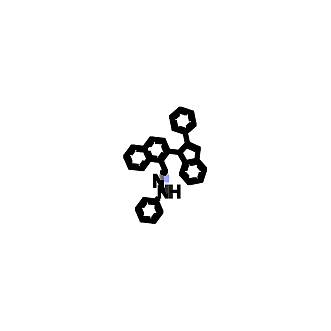 C1=C(c2ccccc2)C(c2ccc3ccccc3c2/C=N/Nc2ccccc2)c2ccccc21